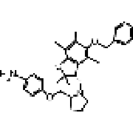 Cc1c(C)c2c(c(C)c1OCc1ccccc1)[C@H](CN1CCC[C@H]1COc1ccc(N)cc1)C(C)(C)O2